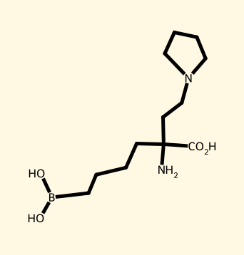 NC(CCCCB(O)O)(CCN1CCCC1)C(=O)O